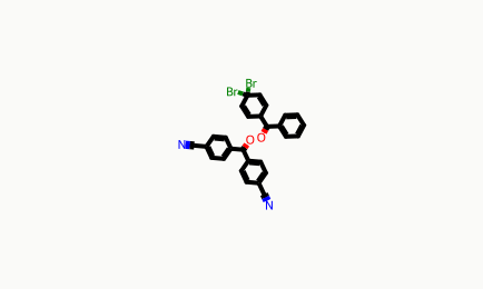 N#Cc1ccc(C(=O)c2ccc(C#N)cc2)cc1.O=C(c1ccccc1)C1C=CC(Br)(Br)C=C1